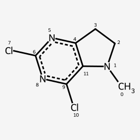 CN1CCc2nc(Cl)nc(Cl)c21